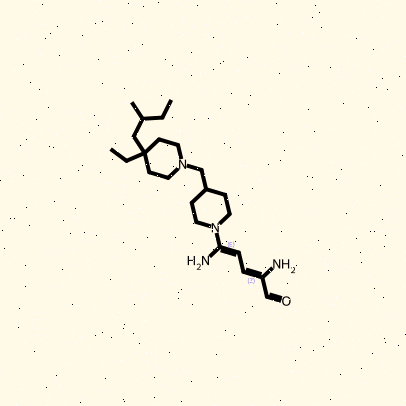 CCC(C)CC1(CC)CCN(CC2CCN(/C(N)=C/C=C(\N)C=O)CC2)CC1